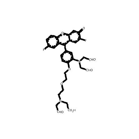 O=CCN(CCOCCOc1ccc(-c2c3cc(F)c(=O)cc-3oc3ccc(F)cc23)cc1N(CC=O)CC=O)CC(=O)O